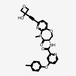 Cc1ccc(Oc2ccnc(C(=O)N[C@H]3COc4ccc(C#CC5(O)COC5)nc4N(C)C3=O)c2)cc1